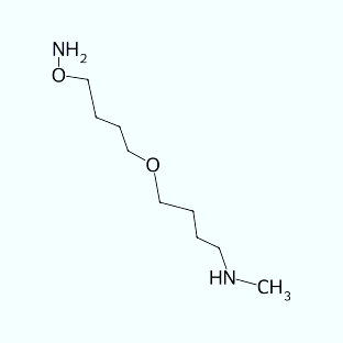 CNCCCCOCCCCON